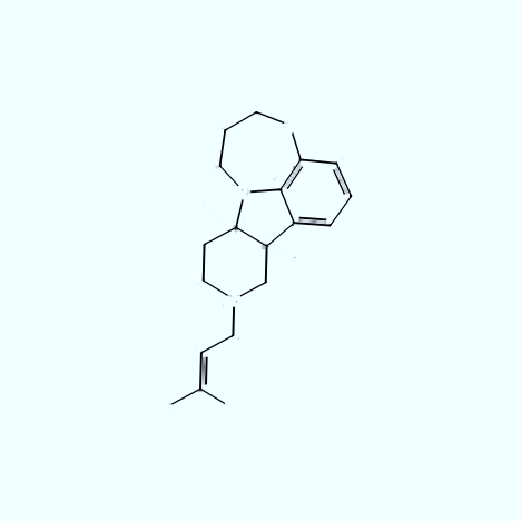 ClC(Cl)=CCN1CC[C@@H]2[C@H](C1)c1cccc3c1N2CCCS3